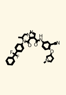 CC1Cn2ncc(C(=O)Nc3ccc(OC4CCN(C)C4)c(C#N)c3)c2C(=O)N1c1ccc(C(F)(F)c2ccccc2)cc1